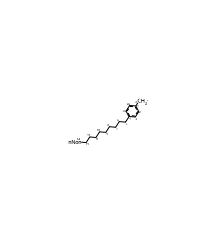 [CH2]c1ccc(CCCCCCCCCCCCCCCCCC)cc1